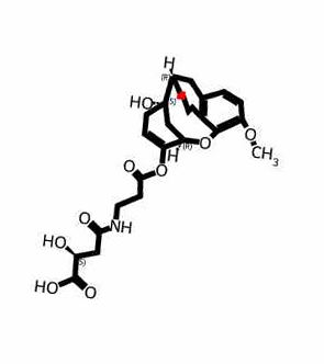 COc1ccc2c3c1O[C@@H]1C[C@@](O)(CC=C1OC(=O)CCNC(=O)C[C@H](O)C(=O)O)[C@H](CCCC3)C2